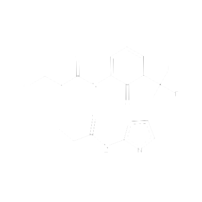 CCC(=O)Nc1nccs1.O=C(CCCl)NC1=CC=CC(C(F)(F)F)C1=O